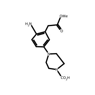 COC(=O)Cc1cc(N2CCN(C(=O)O)CC2)ccc1N